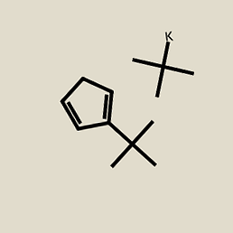 CC(C)(C)C1=CCC=C1.C[C](C)(C)[K]